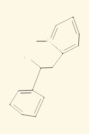 [O-][n+]1ccccc1CC(O)c1ccccc1